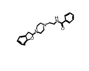 O=C(NCCN1CCN(C2Cc3ccccc3O2)CC1)c1ccccc1